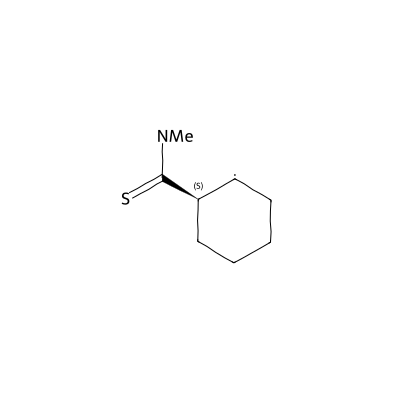 CNC(=S)[C@H]1[CH]CCCC1